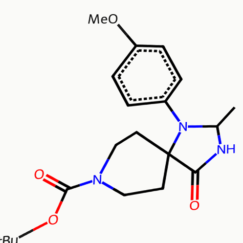 COc1ccc(N2C(C)NC(=O)C23CCN(C(=O)OC(C)(C)C)CC3)cc1